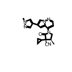 C[C@@H]1CN(c2ccnn3cc(-c4cnn(C)c4)cc23)C(=O)[C@@]1(C#N)C1CC1